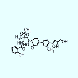 Cc1cc(-c2ccn(C(O)CC(C)(CNC(=O)c3ccccc3O)S(C)(=O)=O)c(=O)c2)ccc1-c1cc(CO)no1